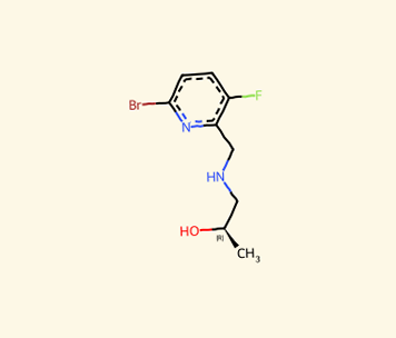 C[C@@H](O)CNCc1nc(Br)ccc1F